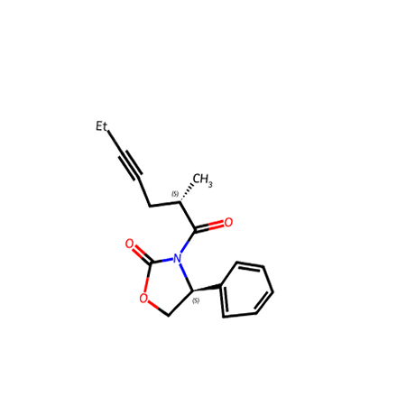 CCC#CC[C@H](C)C(=O)N1C(=O)OC[C@@H]1c1ccccc1